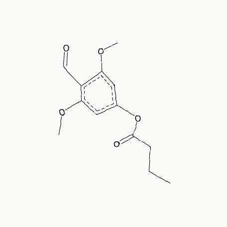 CCCC(=O)Oc1cc(OC)c(C=O)c(OC)c1